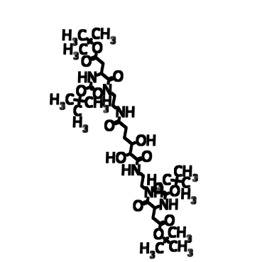 CC(C)(C)OC(=O)CC(NC(=O)OC(C)(C)C)C(=O)NCCNC(=O)CCC(O)C(O)C(=O)NCCNC(=O)C(CC(=O)OC(C)(C)C)NC(=O)OC(C)(C)C